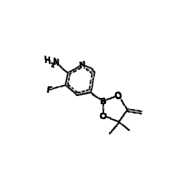 C=C1OB(c2cnc(N)c(F)c2)OC1(C)C